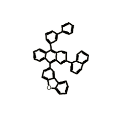 c1ccc(-c2cccc(-c3c4ccccc4c(-c4ccc5oc6ccccc6c5c4)c4cc(-c5cccc6ccccc56)ccc34)c2)cc1